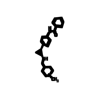 CN1CCC(CN[C@@H]2C[C@H]2c2ccc(NC(=O)c3ccccc3)cc2)CC1